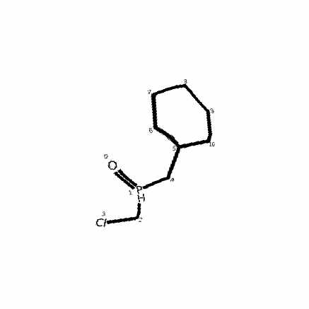 O=[PH](CCl)CC1CCCCC1